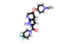 CC(C)N1CCC(Oc2cnc3[nH]c(C(=O)N4CCC(F)(F)CC4)cc3c2)CC1